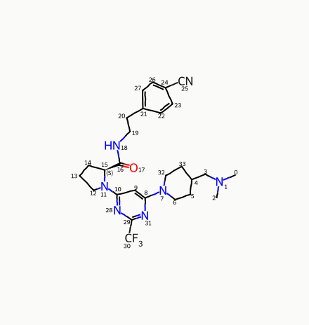 CN(C)CC1CCN(c2cc(N3CCC[C@H]3C(=O)NCCc3ccc(C#N)cc3)nc(C(F)(F)F)n2)CC1